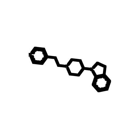 c1ccc2c(c1)CCN2C1CCN(CCc2ccncc2)CC1